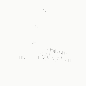 CC(=O)O.CC(=O)O.CC(=O)O.CC(=O)O.CC(=O)O.CC(=O)O.NCCNCCNCCNC1CCCCC1